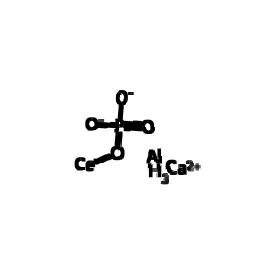 O=P([O-])([O-])[O][Ce].[AlH3].[Ca+2]